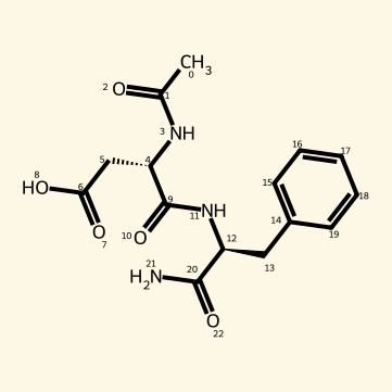 CC(=O)N[C@@H](CC(=O)O)C(=O)N[C@@H](Cc1ccccc1)C(N)=O